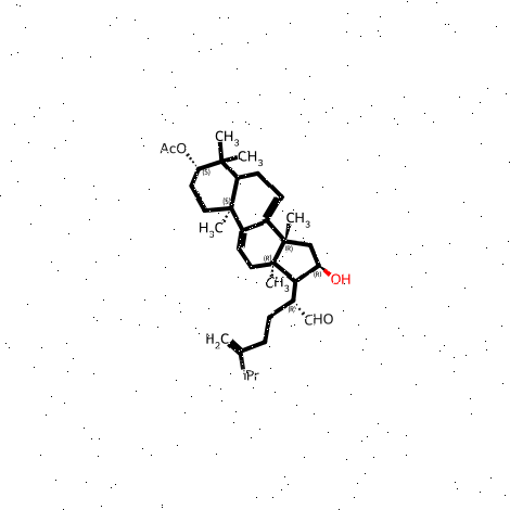 C=C(CC[C@@H](C=O)C1[C@H](O)C[C@@]2(C)C3=CCC4C(C)(C)[C@@H](OC(C)=O)CC[C@]4(C)C3=CC[C@]12C)C(C)C